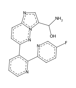 NC(O)c1cnc2ccc(-c3cccnc3-c3ccc(F)cn3)nn12